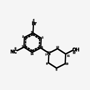 N#Cc1cc(Br)cc(N2CCCC(O)C2)c1